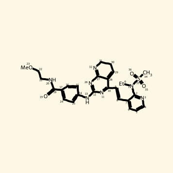 CCN(c1ncccc1C=Cc1nc(Nc2ccc(C(=O)NCCOC)cc2)nc2c1=CCCN=2)S(C)(=O)=O